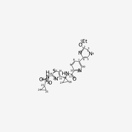 CCOc1cncc(-c2ccc(C(=O)NC3(c4csc(NS(=O)(=O)C5CC5)n4)CC3)nc2)n1